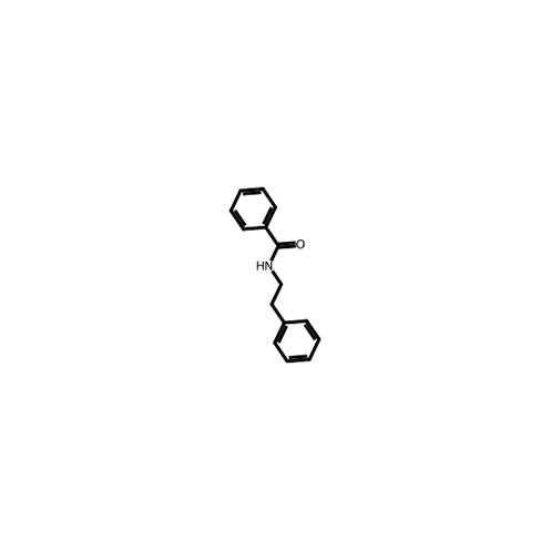 O=C(NCCc1ccccc1)c1ccccc1